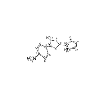 Cl.Nc1ccc(N2CCC(c3ncc[nH]3)C2)cc1